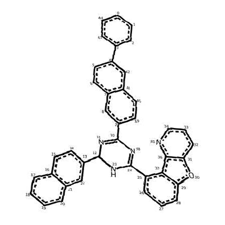 c1ccc(-c2ccc3cc(C4=NC(c5ccc6ccccc6c5)NC(c5cccc6oc7cccnc7c56)=N4)ccc3c2)cc1